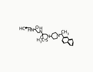 C#CCNC(=O)CNC(=O)CN(SC)C1CCN(C(C)c2ccc3ccccc3c2)CC1